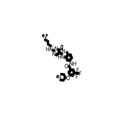 Cc1ccc(NC(=O)c2cc(OC3CCN(C)CC3)cc(C(F)(F)F)c2)cc1Nc1nn(C)c2nc(NCCCCN(C)C)ncc12